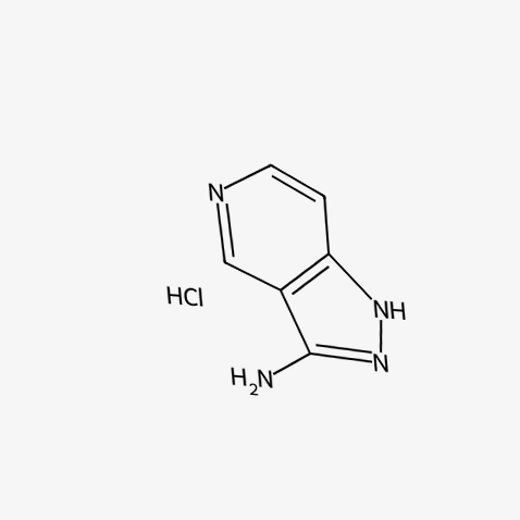 Cl.Nc1n[nH]c2ccncc12